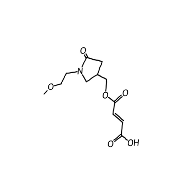 COCCN1CC(COC(=O)/C=C/C(=O)O)CC1=O